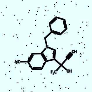 C#CC(O)(c1cn(Cc2ccccc2)c2cc(C#N)ccc12)C(F)(F)F